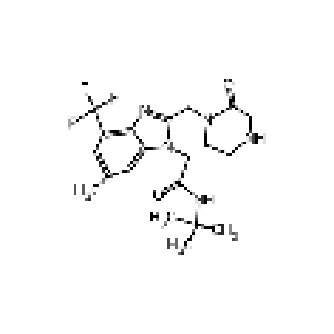 Cc1cc(C(F)(F)F)c2nc(CN3CCNCC3=O)n(CC(=O)NC(C)(C)C)c2c1